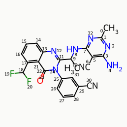 Cc1nc(N)c(C#N)c(NC(C)c2nc3cccc(C(F)F)c3c(=O)n2-c2cccc(C#N)c2)n1